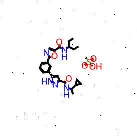 CCC(CC)NC(=O)c1cnc(-c2cccc(-c3cc(C(=O)NC(C)C4CC4)n[nH]3)c2)o1.CS(=O)(=O)O